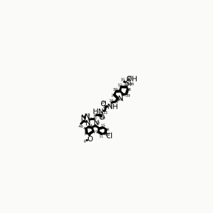 COc1ccc2c(c1)C(c1ccc(Cl)cc1)=N[C@@H](CC(=O)NCC(=O)NCCc1ccc3cc([Si](C)(C)O)ccc3n1)c1nnc(C)n1-2